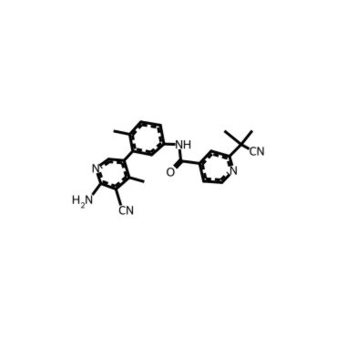 Cc1ccc(NC(=O)c2ccnc(C(C)(C)C#N)c2)cc1-c1cnc(N)c(C#N)c1C